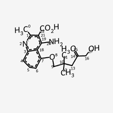 Cc1nc2cccc(OCC(C)(C)CC(=O)CO)c2c(N)c1C(=O)O